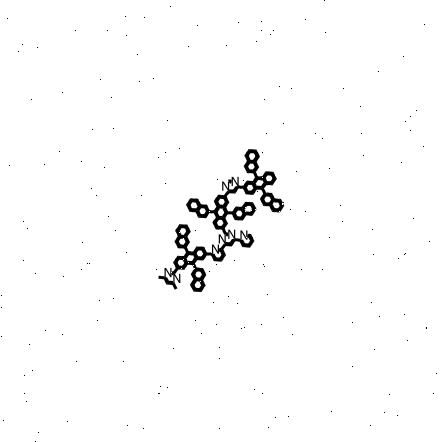 Cc1cc(C)nc(-c2ccc3c(-c4ccc5ccccc5c4)c4ccc(-c5cccc(-c6cc(-c7ccccn7)nc(-c7ccc8c(-c9ccc%10ccccc%10c9)c9ccc(-c%10cc(-c%11ccc%12c(-c%13ccc%14ccccc%14c%13)c%13ccccc%13c(-c%13ccc%14ccccc%14c%13)c%12c%11)ncn%10)cc9c(-c9ccc%10ccccc%10c9)c8c7)n6)n5)cc4c(-c4ccc5ccccc5c4)c3c2)n1